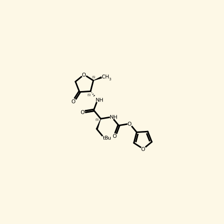 C[C@@H]1OCC(=O)[C@H]1NC(=O)[C@H](CC(C)(C)C)NC(=O)Oc1ccoc1